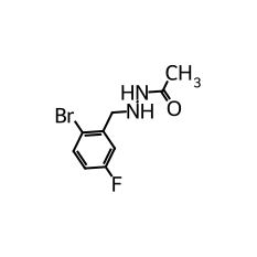 CC(=O)NNCc1cc(F)ccc1Br